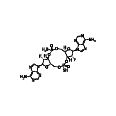 BP1(=O)OC[C@H]2O[C@@H](n3cnc4c(N)ncnc43)[C@H](F)[C@@H]2OP(=O)(S)OCC2O[C@@H](n3cnc4c(N)ncnc43)[C@H](F)[C@@H]2O1